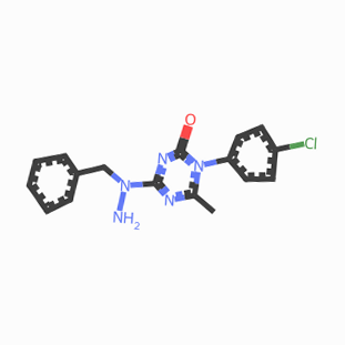 Cc1nc(N(N)Cc2ccccc2)nc(=O)n1-c1ccc(Cl)cc1